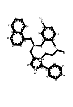 CCCCn1c(CN(Cc2cc(F)ccc2C)Cc2cccc3ccccc23)cnc1-c1ccccc1